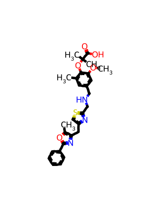 COc1cc(CNCc2nc(Cc3nc(-c4ccccc4)oc3C)cs2)cc(C)c1OC(C)(C)C(=O)O